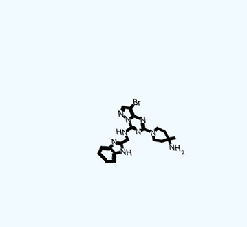 CC1(N)CCN(c2nc(NCc3nc4ccccc4[nH]3)n3ncc(Br)c3n2)CC1